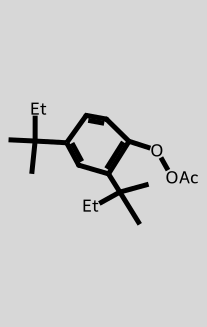 CCC(C)(C)c1ccc(OOC(C)=O)c(C(C)(C)CC)c1